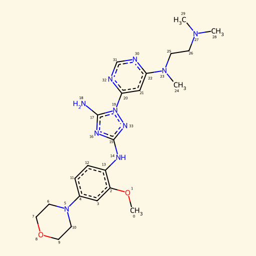 COc1cc(N2CCOCC2)ccc1Nc1nc(N)n(-c2cc(N(C)CCN(C)C)ncn2)n1